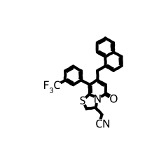 N#CCC1CSc2c(-c3cccc(C(F)(F)F)c3)c(Cc3cccc4ccccc34)cc(=O)n21